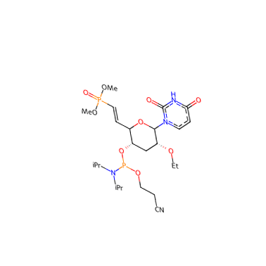 CCO[C@@H]1C[C@H](OP(OCCC#N)N(C(C)C)C(C)C)C(/C=C/P(=O)(OC)OC)OC1n1ccc(=O)[nH]c1=O